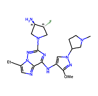 CCc1cnc2c(Nc3cn(C4CCN(C)C4)nc3OC)nc(N3C[C@@H](N)[C@H](F)C3)nn12